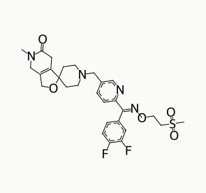 CN1CC2=C(CC1=O)C1(CCN(Cc3ccc(C(=NOCCS(C)(=O)=O)c4ccc(F)c(F)c4)nc3)CC1)OC2